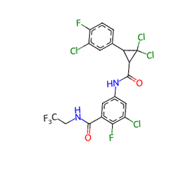 O=C(NCC(F)(F)F)c1cc(NC(=O)C2C(c3ccc(F)c(Cl)c3)C2(Cl)Cl)cc(Cl)c1F